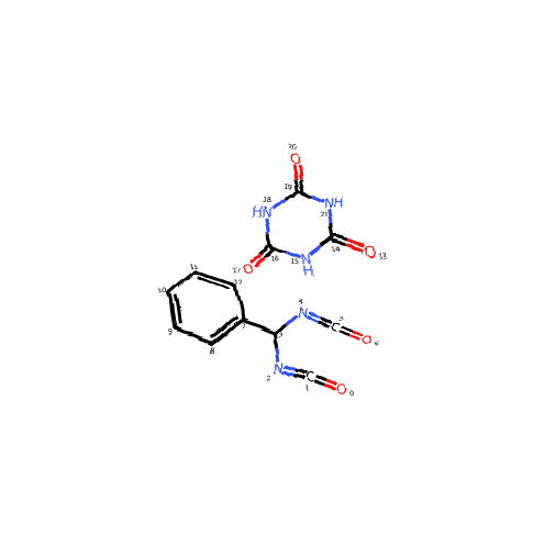 O=C=NC(N=C=O)c1ccccc1.O=c1[nH]c(=O)[nH]c(=O)[nH]1